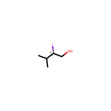 CC(C)[C@@H](I)CO